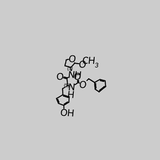 COC1OCC[C@@H]1NC(=O)[C@H](Cc1ccc(O)cc1)NC(=O)OCc1ccccc1